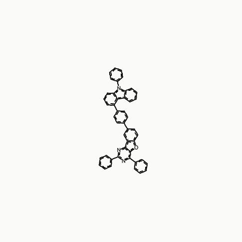 c1ccc(-c2nc(-c3ccccc3)c3oc4ccc(-c5ccc(-c6cccc7c6c6ccccc6n7-c6ccccc6)cc5)cc4c3n2)cc1